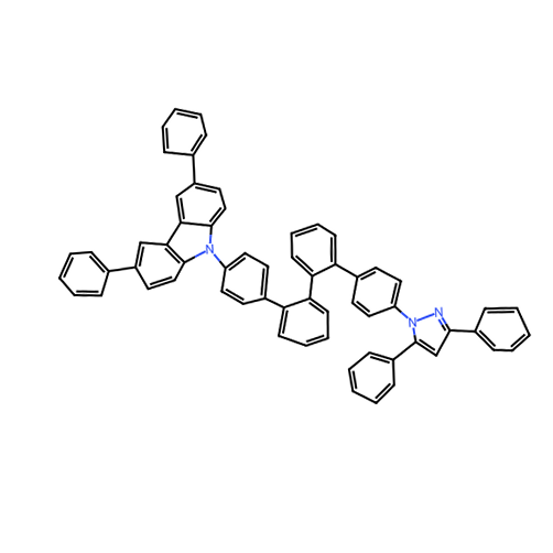 c1ccc(-c2ccc3c(c2)c2cc(-c4ccccc4)ccc2n3-c2ccc(-c3ccccc3-c3ccccc3-c3ccc(-n4nc(-c5ccccc5)cc4-c4ccccc4)cc3)cc2)cc1